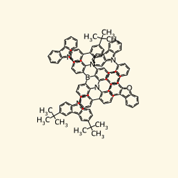 CC(C)(C)c1ccc(N2c3cc(-n4c5ccccc5c5ccccc54)ccc3B3c4ccc(-n5c6ccc(C(C)(C)C)cc6c6cc(C(C)(C)C)ccc65)cc4N(c4c(-c5ccccc5)cccc4-c4ccccc4)c4cc(-c5c(-c6cccc7c6oc6ccccc67)cccc5-n5c6ccccc6c6ccccc65)cc2c43)c(-c2ccccc2)c1